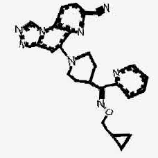 N#Cc1ccc2c(n1)c(N1CCC(/C(=N/OCC3CC3)c3ccccn3)CC1)cc1nncn12